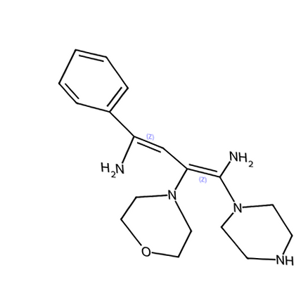 N/C(=C\C(=C(/N)N1CCNCC1)N1CCOCC1)c1ccccc1